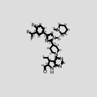 CCC1c2c(ncnc2N2CCC(c3nc(-c4ccc(F)c(C(F)F)c4)cn3C[C@H]3CCCCN3C)CC2)NC1C=O